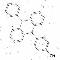 N#Cc1ccc(N2c3ccccc3C(c3ccccc3)c3ccccc32)cc1